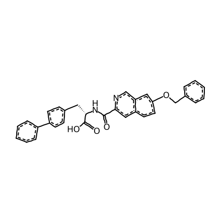 O=C(N[C@@H](Cc1ccc(-c2ccccc2)cc1)C(=O)O)c1cc2ccc(OCc3ccccc3)cc2cn1